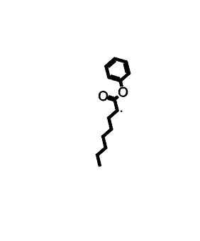 CCCCCC[CH]C(=O)Oc1ccccc1